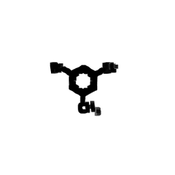 C[CH]c1cc(C)cc(Br)c1